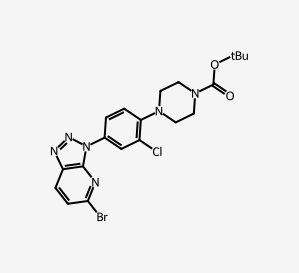 CC(C)(C)OC(=O)N1CCN(c2ccc(-n3nnc4ccc(Br)nc43)cc2Cl)CC1